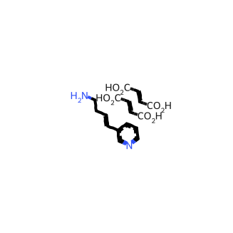 NCCC=Cc1cccnc1.O=C(O)C=CC(=O)O.O=C(O)C=CC(=O)O